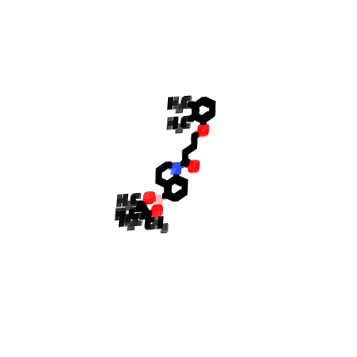 Cc1cccc(OCCCC(=O)N2CCCc3c(B4OC(C)(C)C(C)(C)O4)cccc32)c1C